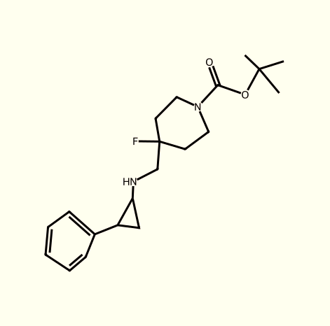 CC(C)(C)OC(=O)N1CCC(F)(CNC2CC2c2ccccc2)CC1